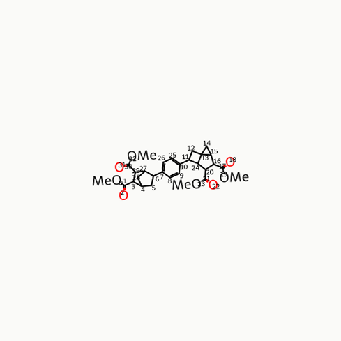 COC(=O)C1C2CC(c3ccc(C4CC56CC5C(C(=O)OC)C(C(=O)OC)C46)cc3)C(C2)C1C(=O)OC